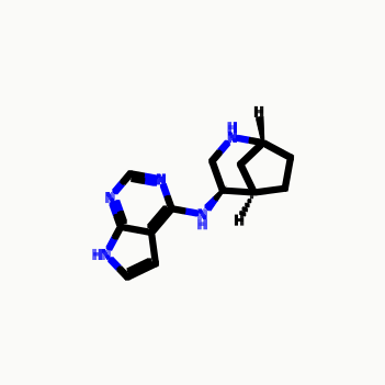 c1nc(N[C@H]2CN[C@@H]3CC[C@@H]2C3)c2cc[nH]c2n1